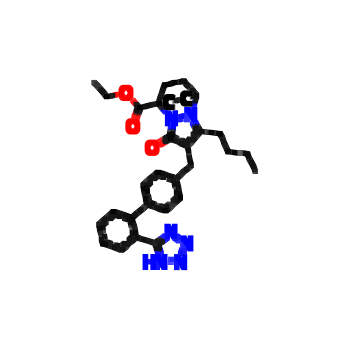 CCCCc1c(Cc2ccc(-c3ccccc3-c3nnn[nH]3)cc2)c(=O)n2n1C1CCC2(C(=O)OCC)CC1